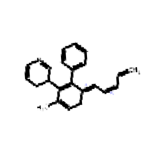 C=C/C=C\C=C1/CC=C(C)C(C2C=NC=CC2)=C1c1ccccc1